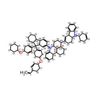 C=CC1C=CC(OC2CC=C(C3(C4=CCC(OC5CCCCC5)C=C4)C4C=C(N(C5=CC=CCC5C5CCCCC5)C5CCC(C6=CC7c8ccccc8N(C8CC=CCC8)C7CC6)CC5)C=CC4C4CCCCC43)CC2)CC1